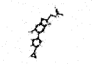 CC(=O)NCc1cc2cc(Cl)c(-c3ccc(C4CC4)nc3)cc2[nH]1